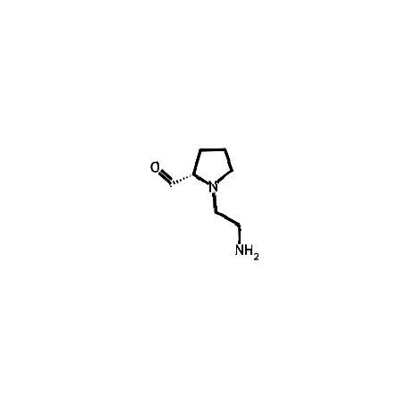 NCCN1CCC[C@H]1[C]=O